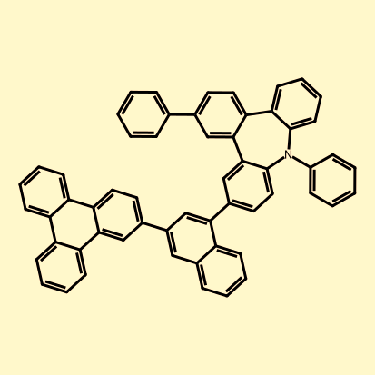 c1ccc(-c2ccc3c(c2)-c2cc(-c4cc(-c5ccc6c7ccccc7c7ccccc7c6c5)cc5ccccc45)ccc2N(c2ccccc2)c2ccccc2-3)cc1